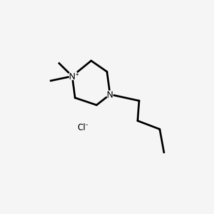 CCCCN1CC[N+](C)(C)CC1.[Cl-]